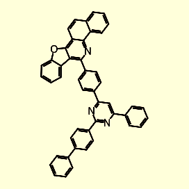 c1ccc(-c2ccc(-c3nc(-c4ccccc4)cc(-c4ccc(-c5nc6c7ccccc7ccc6c6oc7ccccc7c56)cc4)n3)cc2)cc1